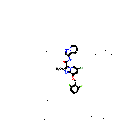 Cc1nc2c(OCc3c(F)cccc3F)cc(Cl)cn2c1C(=O)Nc1cnn2ccccc12